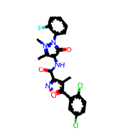 Cc1c(C(=O)Nc2c(C)n(C)n(-c3ccccc3F)c2=O)noc1-c1cc(Cl)ccc1Cl